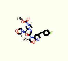 CC(C)[C@H]1COc2ncc(Cc3ccc(F)cc3)cc2N1C(=O)CN1C[C@@H](C)N(C(=O)OC(C)(C)C)C[C@@H]1CN1CCOC[C@H]1C